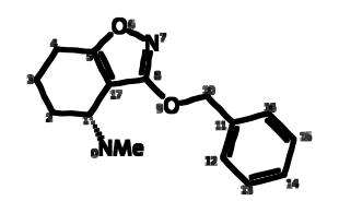 CN[C@@H]1CCCc2onc(OCc3ccccc3)c21